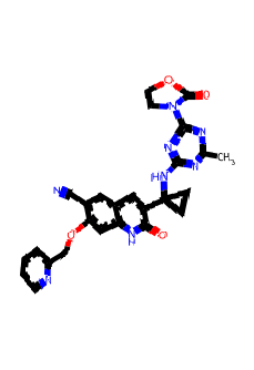 Cc1nc(NC2(c3cc4cc(C#N)c(OCc5ccccn5)cc4[nH]c3=O)CC2)nc(N2CCOC2=O)n1